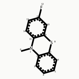 CN1c2ccccc2Sc2cc(F)ccc21